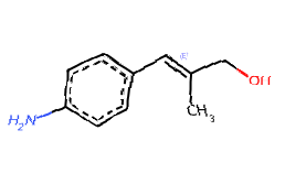 C/C(=C\c1ccc(N)cc1)CO